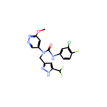 COc1cc(N(Cc2cc(C(F)F)[nH]n2)C(=O)Nc2ccc(F)c(Cl)c2)cnn1